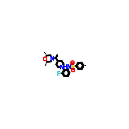 CC(C1CCN(c2c(F)cccc2NS(=O)(=O)c2cc[c]cc2)CC1)N1C[C@@H](C)O[C@@H](C)C1